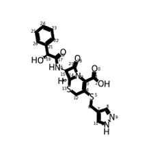 O=C(O)C1=C(SCc2cn[nH]c2)CS[C@H]2[C@H](NC(=O)[C@@H](O)c3ccccc3)C(=O)N12